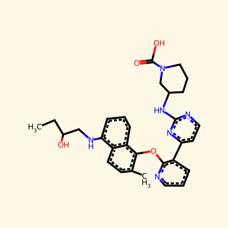 CCC(O)CNc1cccc2c(Oc3ncccc3-c3ccnc(NC4CCCN(C(=O)O)C4)n3)c(C)ccc12